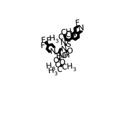 CC(C)(C)OC(=O)N[C@@H](CN1CCC(C(F)(F)F)CC1)CN(C(=O)O)c1nc(C(C)(C)C)c(-c2ccc3cnc(F)cc3c2)s1